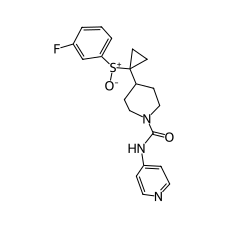 O=C(Nc1ccncc1)N1CCC(C2([S+]([O-])c3cccc(F)c3)CC2)CC1